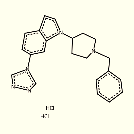 Cl.Cl.c1ccc(CN2CCC(n3ccc4ccc(-n5cnnc5)cc43)CC2)cc1